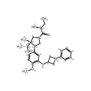 CC[C@H](O)C(=O)N1C[C@@H](c2ccc(OC)c(OC3CN(c4cnccn4)C3)c2)[C@](C)([C@@H](C)O)C1